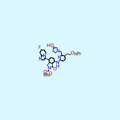 CCCOCCc1ccc(Nc2ccc(-c3cnc4cc(F)ccn34)c3c2C(=O)N(C(=O)OC(C)(C)C)C3)nc1CN1CC[C@H](O)C1